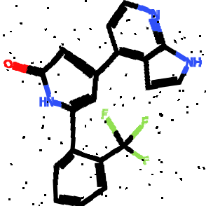 O=c1cc(-c2ccnc3[nH]ccc23)cc(-c2ccccc2C(F)(F)F)[nH]1